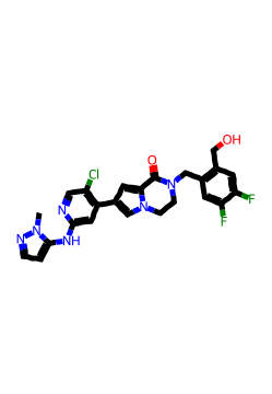 Cn1nccc1Nc1cc(-c2cc3n(c2)CCN(Cc2cc(F)c(F)cc2CO)C3=O)c(Cl)cn1